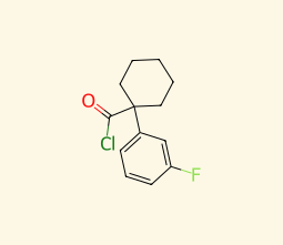 O=C(Cl)C1(c2cccc(F)c2)CCCCC1